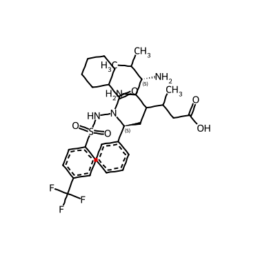 CC(CC(=O)O)C(C[C@@H](c1ccccc1)N(NS(=O)(=O)c1ccc(C(F)(F)F)cc1)C(=O)C1CCCCC1)C(N)[C@@H](N)C(C)C